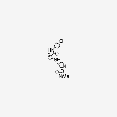 CNC(=O)Oc1cc(CNc2ccsc2C(=O)Nc2ccc(Cl)cc2)ccn1